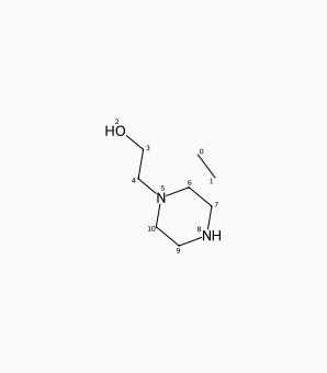 CC.OCCN1CCNCC1